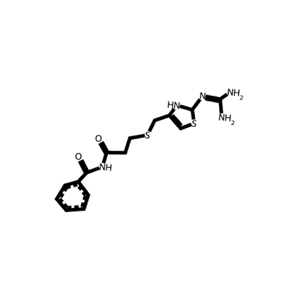 NC(N)=NC1NC(CSCCC(=O)NC(=O)c2ccccc2)=CS1